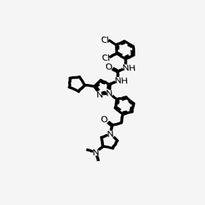 CN(C)C1CCN(C(=O)Cc2cccc(-n3nc(C4CCCC4)cc3NC(=O)Nc3cccc(Cl)c3Cl)c2)C1